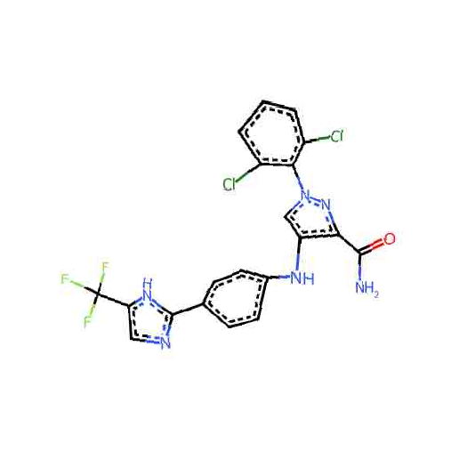 NC(=O)c1nn(-c2c(Cl)cccc2Cl)cc1Nc1ccc(-c2ncc(C(F)(F)F)[nH]2)cc1